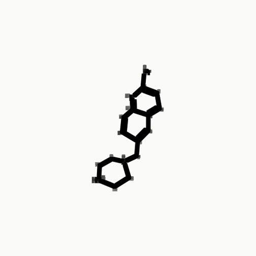 CC(C)c1ccc2cc(CN3CCNCC3)ccc2n1